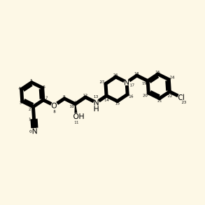 N#Cc1ccccc1OC[C@H](O)CNC1CCN(Cc2ccc(Cl)cc2)CC1